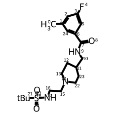 Cc1cc(F)cc(C(=O)NCC2CCN(CCNS(=O)(=O)C(C)(C)C)CC2)c1